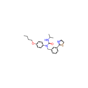 CCCCOc1ccc(N(Cc2cccc(-c3nccs3)c2)C(=O)NC(C)C)cc1